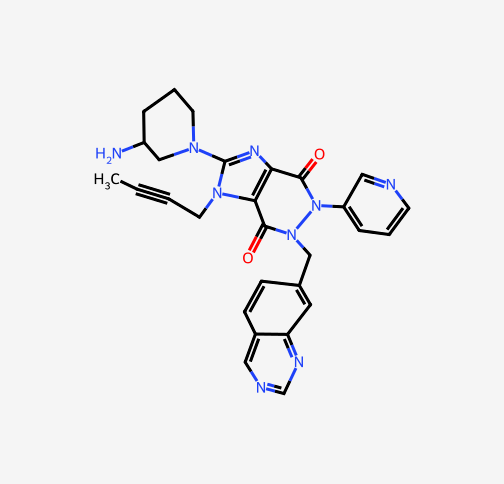 CC#CCn1c(N2CCCC(N)C2)nc2c(=O)n(-c3cccnc3)n(Cc3ccc4cncnc4c3)c(=O)c21